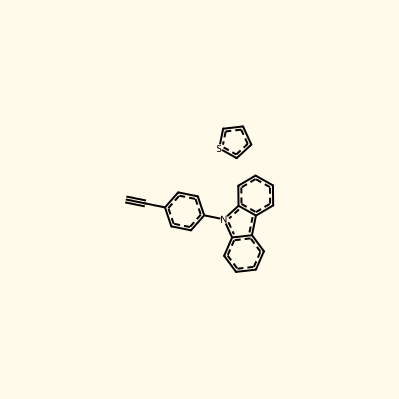 C#Cc1ccc(-n2c3ccccc3c3ccccc32)cc1.c1ccsc1